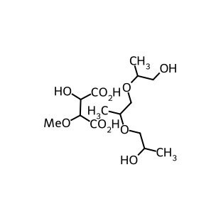 CC(O)COC(C)COC(C)CO.COC(C(=O)O)C(O)C(=O)O